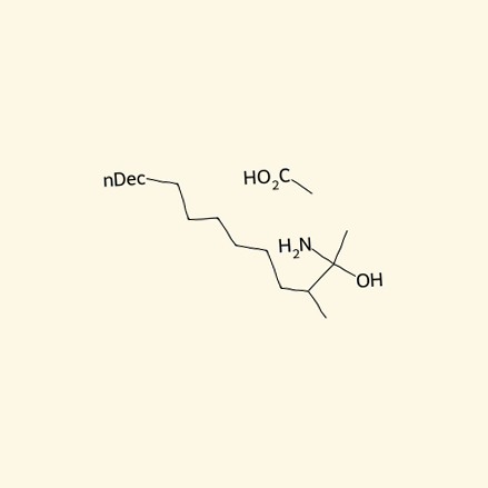 CC(=O)O.CCCCCCCCCCCCCCCCC(C)C(C)(N)O